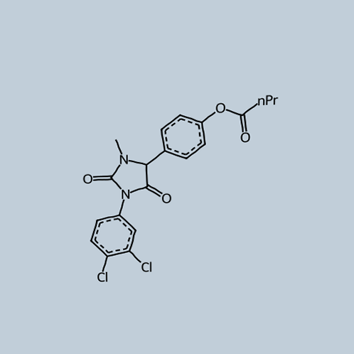 CCCC(=O)Oc1ccc(C2C(=O)N(c3ccc(Cl)c(Cl)c3)C(=O)N2C)cc1